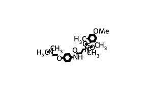 COc1cc(C)c(S(=O)(=O)N(C)CCC(=O)Nc2ccc(OCCN(C)C)cc2)c(C)c1